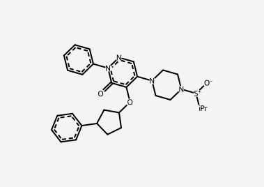 CC(C)[S+]([O-])N1CCN(c2cnn(-c3ccccc3)c(=O)c2OC2CCC(c3ccccc3)C2)CC1